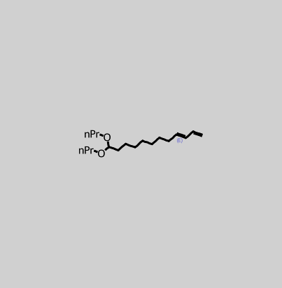 C=C/C=C/CCCCCCCC(OCCC)OCCC